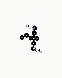 Cc1cccc(-c2ccc(-c3c4ccccc4c(-c4ccc(-c5cccc(C)n5)cc4)c4cc(-c5cccc(-c6ccccc6)c5)ccc34)cc2)n1